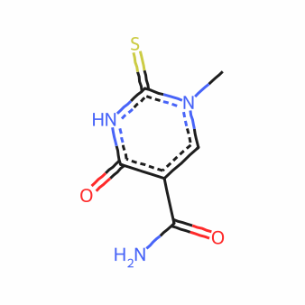 Cn1cc(C(N)=O)c(=O)[nH]c1=S